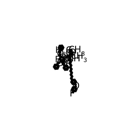 C[C@H]1OC(C)(C)O[C@H]1[C@H](CO[C@H]1OC(COCc2ccccc2)[C@@H](F)C(OCc2ccccc2)C1OCc1ccccc1)NC(=O)CCCCCCCCCCc1ccc(Oc2ccc(F)cc2)cc1